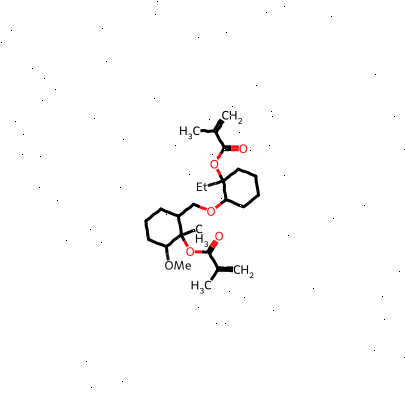 C=C(C)C(=O)OC1(CC)CCCCC1OCC1CCCC(OC)C1(C)OC(=O)C(=C)C